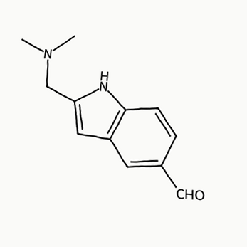 CN(C)Cc1cc2cc(C=O)ccc2[nH]1